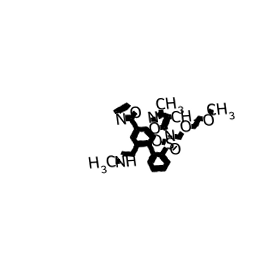 CNCCc1cc(-c2ncco2)ccc1-c1ccccc1S(=O)(=O)N(COCCOC)c1onc(C)c1C